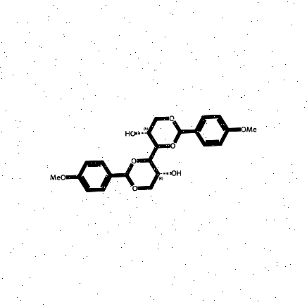 COc1ccc(C2OC[C@@H](O)C(C3OC(c4ccc(OC)cc4)OC[C@H]3O)O2)cc1